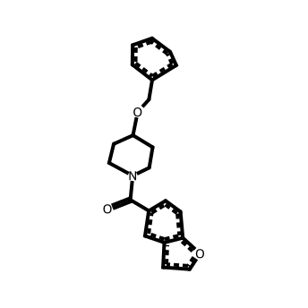 O=C(c1ccc2occc2c1)N1CCC(OCc2ccccc2)CC1